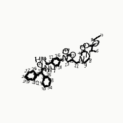 CCOC(=O)C(C)N1CCN(CC2CN(c3ccc(C(=N)NC(=O)C(c4ccccc4)c4ccccc4)cc3)C(=O)O2)CC1=O